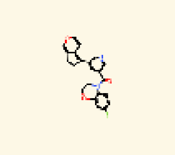 O=C(c1cncc(C2=C3C=COC=C3CC2)c1)N1CCOc2cc(F)ccc21